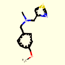 CN(Cc1ccc(OC(F)(F)F)cc1)Cc1cs[c]n1